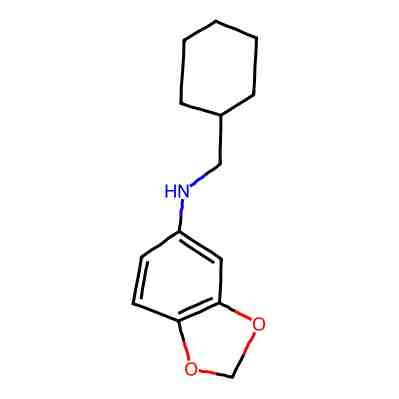 c1cc2c(cc1NCC1CCCCC1)OCO2